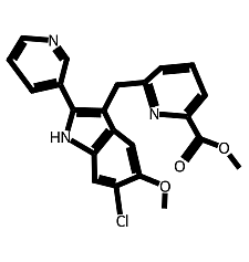 COC(=O)c1cccc(Cc2c(-c3cccnc3)[nH]c3cc(Cl)c(OC)cc23)n1